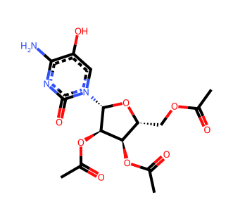 CC(=O)OC[C@H]1O[C@@H](n2cc(O)c(N)nc2=O)[C@H](OC(C)=O)[C@@H]1OC(C)=O